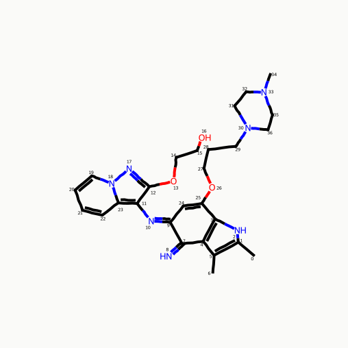 Cc1[nH]c2c(c1C)C(=N)/C(=N/c1c(OCCO)nn3ccccc13)C=C2OCCCN1CCN(C)CC1